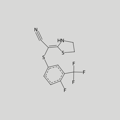 N#CC(Sc1ccc(F)c(C(F)(F)F)c1)=C1NCCS1